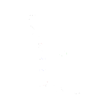 CCCCCCCCCCCCC=CCCCC(=O)OCCNCCNCCOC(=O)CCCC=CCCCCCCCCCCCC.Cl.Cl